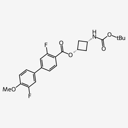 COc1ccc(-c2ccc(C(=O)O[C@H]3C[C@@H](NC(=O)OC(C)(C)C)C3)c(F)c2)cc1F